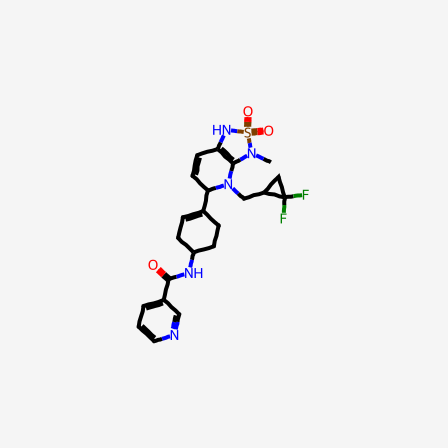 CN1C2=C(C=CC(C3=CCC(NC(=O)c4cccnc4)CC3)N2CC2CC2(F)F)NS1(=O)=O